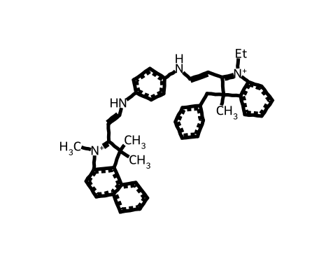 CC[N+]1=C(C=CNc2ccc(NC=CC3=[N+](C)c4ccc5ccccc5c4C3(C)C)cc2)C(C)(Cc2ccccc2)c2ccccc21